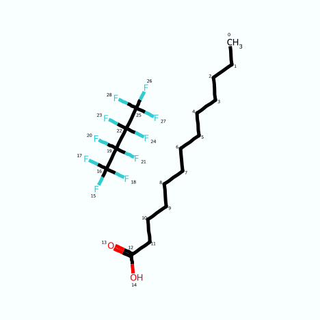 CCCCCCCCCCCCC(=O)O.FC(F)(F)C(F)(F)C(F)(F)C(F)(F)F